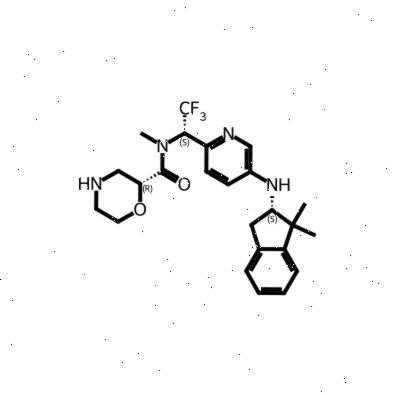 CN(C(=O)[C@H]1CNCCO1)[C@@H](c1ccc(N[C@H]2Cc3ccccc3C2(C)C)cn1)C(F)(F)F